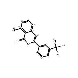 O=c1oc(-c2cccc(C(F)(Cl)Cl)c2)nc2cccc(Cl)c12